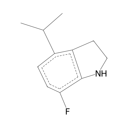 CC(C)c1ccc(F)c2c1CCN2